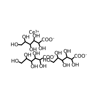 O=C([O-])C(O)C(O)C(O)C(O)CO.O=C([O-])C(O)C(O)C(O)C(O)CO.O=C([O-])C(O)C(O)C(O)C(O)CO.[Ce+3]